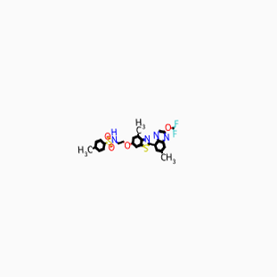 Cc1ccc(S(=O)(=O)NCCOc2cc(C)c3nc(-c4cc(C)cc5nc(OC(F)F)cnc45)sc3c2)cc1